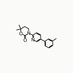 Cc1cccc(-c2ccc(N3CCC(C)(C)OC3=O)nc2)c1